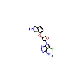 Nc1ncnc2c1c(F)cn2C1CC(Oc2cccc3c2CNC3)CO1